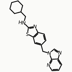 c1cnc2c(c1)ncn2Cc1ccc2nc(NCC3CCCCC3)sc2c1